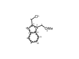 COCn1c(CCl)nc2ccccc21